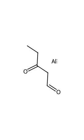 CCC(=O)CC=O.[Al]